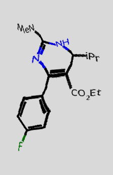 CCOC(=O)C1=C(c2ccc(F)cc2)N=C(NC)NC1C(C)C